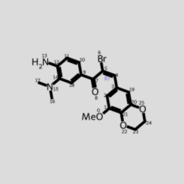 COc1cc(/C=C(/Br)C(=O)c2ccc(N)c(N(C)C)c2)cc2c1OCCO2